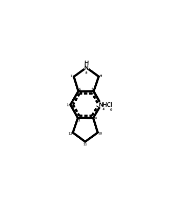 Cl.c1c2c(nc3c1CNC3)CCC2